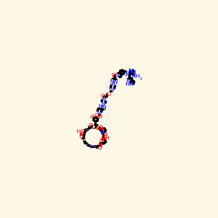 CO[C@H]1C[C@@H]2CCC[C@@](O)(O2)C(=O)C(=O)N2CCCC[C@H]2C(=O)O[C@H]([C@H](C)C[C@@H]2CC[C@@H](OC(=O)N3CCc4nc(N5CCN(C(=O)CCOCCN6CCN(c7ncc(C(=O)N8CCc9cc(Cn%10nc(-c%11cnc%12[nH]ccc%12c%11)c%11c(N)ncnc%11%10)ccc9C8)cn7)CC6)CC5)ncc4C3)[C@H](OC)C2)CC(=O)[C@H](C)/C=C(\C)[C@@H](O)[C@@H](OC)C(=O)[C@H](C)C[C@H](C)/C=C/C=C/C=C/1C